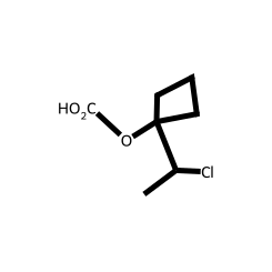 CC(Cl)C1(OC(=O)O)CCC1